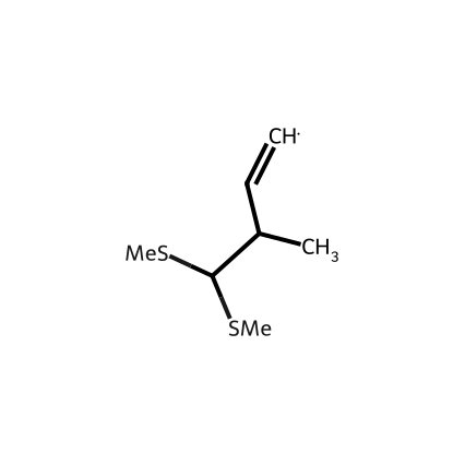 [CH]=CC(C)C(SC)SC